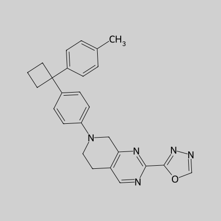 Cc1ccc(C2(c3ccc(N4CCc5cnc(-c6nnco6)nc5C4)cc3)CCC2)cc1